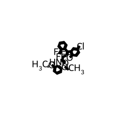 CCOc1cccc(OCC)c1NC(=O)Cc1oc2ccc(Cl)cc2c1-c1ccccc1C(F)(F)F